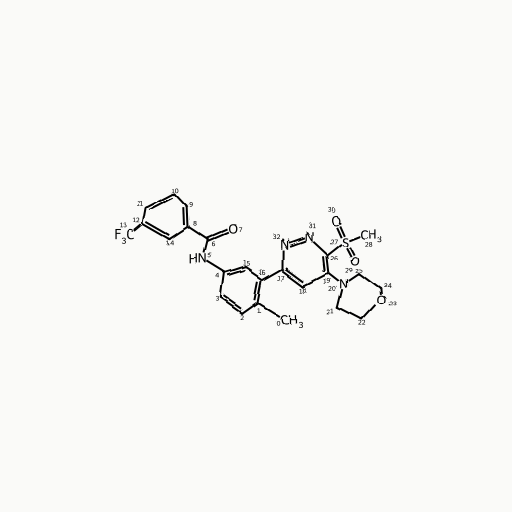 Cc1ccc(NC(=O)c2cccc(C(F)(F)F)c2)cc1-c1cc(N2CCOCC2)c(S(C)(=O)=O)nn1